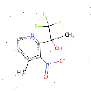 Cc1ccnc(C(C)(O)C(F)(F)F)c1[N+](=O)[O-]